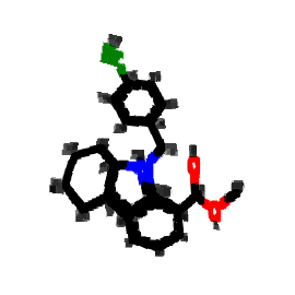 COC(=O)c1cccc2c3c(n(Cc4ccc(Br)cc4)c12)CCCC3